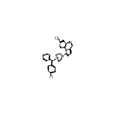 Clc1ccc(C(c2ccccc2)N2CCN(c3ccc4cnc5cc(Cl)ccc5n34)CC2)cc1